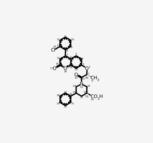 C[C@@H](Oc1ccc2c(-c3ccccc3Cl)cc(=O)oc2c1)C(=O)N1CC(c2ccccc2)C[C@H](C(=O)O)C1